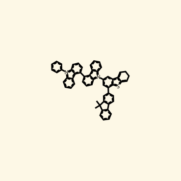 CC1(C)c2ccccc2-c2ccc(-c3cc(-n4c5ccccc5c5c(-c6cccc7c6c6ccccc6n7-c6ccccc6)cccc54)cc4c5c(sc34)=CCCC=5)cc21